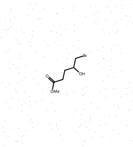 COC(=O)CCC(O)CBr